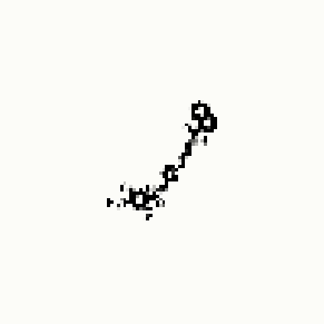 COc1cc(N)c(Cl)cc1C(=O)NC[C@H]1CCN(CCCCNC(=O)c2cccc3ccccc23)C1